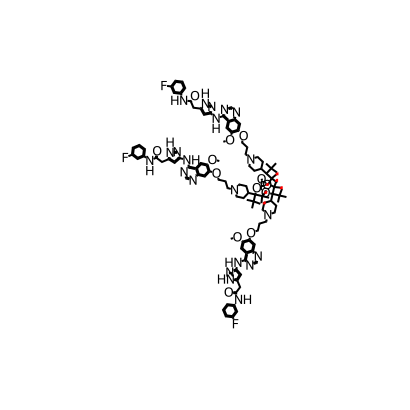 COc1cc2c(Nc3cc(CC(=O)Nc4cccc(F)c4)[nH]n3)ncnc2cc1OCCCN1CCC(C(OP(=O)(OC(C2CCN(CCCOc3cc4ncnc(Nc5cc(CC(=O)Nc6cccc(F)c6)[nH]n5)c4cc3OC)CC2)(C(C)(C)C)C(C)(C)C)OC(C2CCN(CCCOc3cc4ncnc(Nc5cc(CC(=O)Nc6cccc(F)c6)[nH]n5)c4cc3OC)CC2)(C(C)(C)C)C(C)(C)C)(C(C)(C)C)C(C)(C)C)CC1